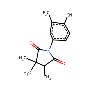 CC1C(=O)N(c2ccc(C#N)c(C(F)(F)F)c2)C(=O)C1(C)C